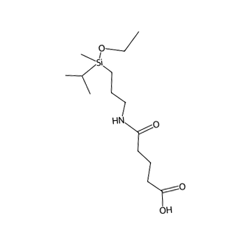 CCO[Si](C)(CCCNC(=O)CCCC(=O)O)C(C)C